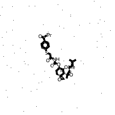 CO[C@H]1[C@H](C2(C)O[C@@H]2CC=C(C)C)[C@]2(CC[C@H]1OC(=O)NC(=O)CSc1ccc(C(=O)C(C)C)cc1)CO2